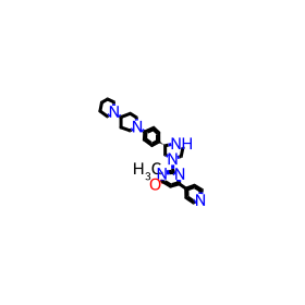 Cn1c(N2CCN[C@@H](c3ccc(N4CCC(N5CCCCC5)CC4)cc3)C2)nc(-c2ccncc2)cc1=O